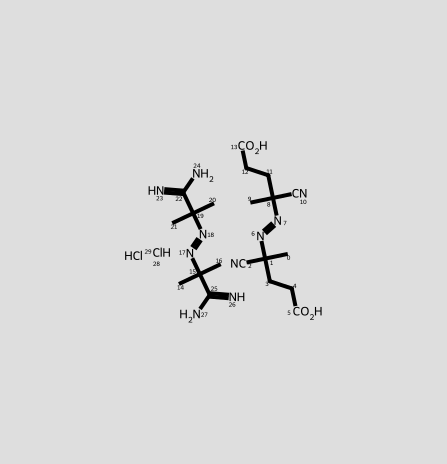 CC(C#N)(CCC(=O)O)N=NC(C)(C#N)CCC(=O)O.CC(C)(N=NC(C)(C)C(=N)N)C(=N)N.Cl.Cl